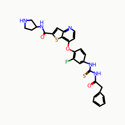 O=C(Cc1ccccc1)NC(=S)Nc1ccc(Oc2ccnc3cc(C(=O)NC4CCNC4)sc23)c(F)c1